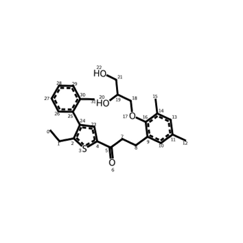 CCc1sc(C(=O)CCc2cc(C)cc(C)c2OCC(O)CO)cc1-c1ccccc1C